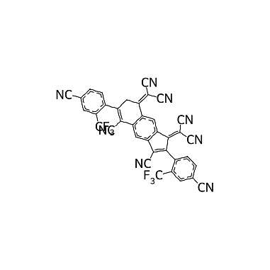 N#CC(C#N)=C1CC(c2ccc(C#N)cc2C(F)(F)F)=C(C#N)c2cc3c(cc21)C(=C(C#N)C#N)C(c1ccc(C#N)cc1C(F)(F)F)=C3C#N